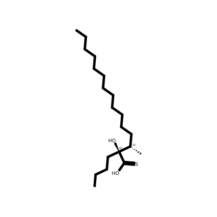 CCCCCCCCCCCC[C@H](C)[C@@](O)(CCCC)C(O)=S